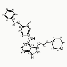 Cc1cc(Nc2ncnc3[nH]nc(OCCN4CCCOCC4)c23)ccc1OCc1ccccc1